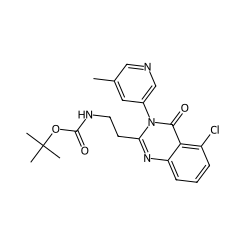 Cc1cncc(-n2c(CCNC(=O)OC(C)(C)C)nc3cccc(Cl)c3c2=O)c1